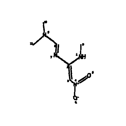 CNC(=C\[N+](=O)[O-])/N=C/N(C)C